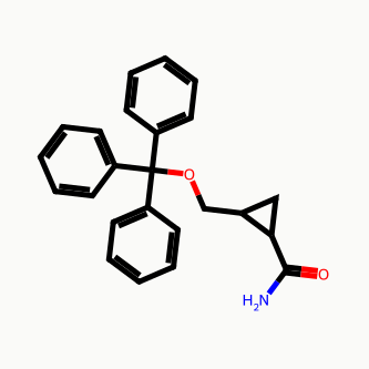 NC(=O)C1CC1COC(c1ccccc1)(c1ccccc1)c1ccccc1